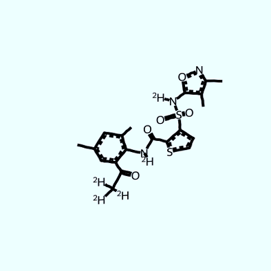 [2H]N(C(=O)c1sccc1S(=O)(=O)N([2H])c1onc(C)c1C)c1c(C)cc(C)cc1C(=O)C([2H])([2H])[2H]